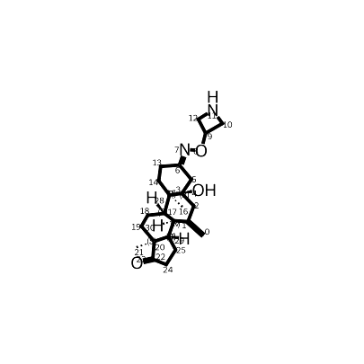 C=C1C[C@@]2(O)CC(=NOC3CNC3)CC[C@]2(C)[C@H]2CC[C@]3(C)C(=O)CC[C@H]3[C@H]12